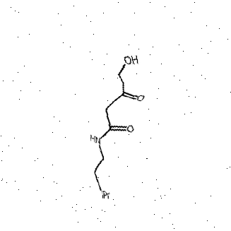 CC(C)CCNC(=O)CC(=O)CO